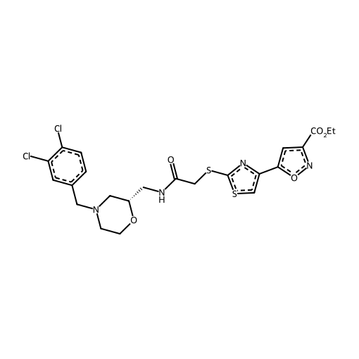 CCOC(=O)c1cc(-c2csc(SCC(=O)NC[C@H]3CN(Cc4ccc(Cl)c(Cl)c4)CCO3)n2)on1